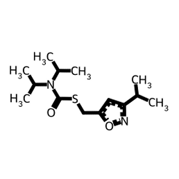 CC(C)c1cc(CSC(=O)N(C(C)C)C(C)C)on1